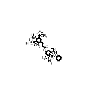 CC(C)(C)c1cc(CCC(=O)OC2CC(C)(C)N(C(=O)Oc3ccccc3)C(C)(C)C2)cc(C(C)(C)C)c1O